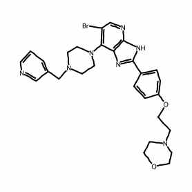 Brc1cnc2[nH]c(-c3ccc(OCCN4CCOCC4)cc3)nc2c1N1CCN(Cc2cccnc2)CC1